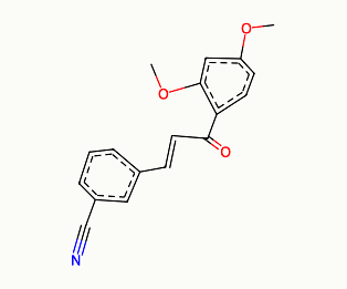 COc1ccc(C(=O)C=Cc2cccc(C#N)c2)c(OC)c1